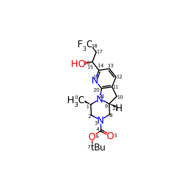 C[C@@H]1CN(C(=O)OC(C)(C)C)C[C@H]2Cc3ccc(C(O)CC(F)(F)F)nc3N21